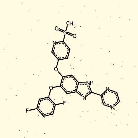 CS(=O)(=O)c1ccc(Oc2cc3[nH]c(-c4cnccn4)nc3cc2Oc2cc(F)ccc2F)cn1